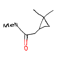 CNC(=O)C1CC1(C)C